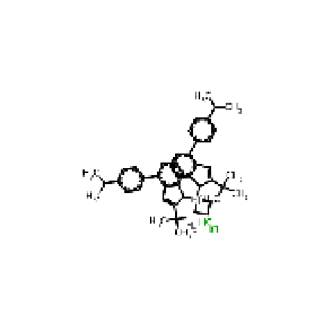 CC(C)c1ccc(-c2cccc3c2C=C(C(C)(C)C)[CH]3[Hf]2([CH]3C(C(C)(C)C)=Cc4c(-c5ccc(C(C)C)cc5)cccc43)[CH2]C[CH2]2)cc1.Cl.Cl